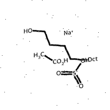 CC(=O)O.CCCCCCCCCCCCO.O=[S-](=O)O.[Na+]